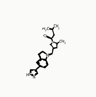 CC(C)CC(=O)N1CC(CN2CCc3cc(-c4cn[nH]c4)ccc32)CC1C